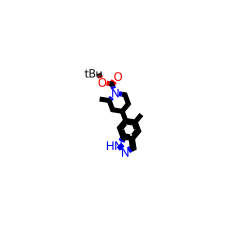 Cc1cc2cn[nH]c2cc1C1CCN(C(=O)OC(C)(C)C)C(C)C1